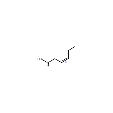 CC/C=C\CNO